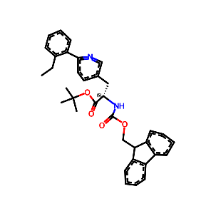 CCc1ccccc1-c1ccc(C[C@H](NC(=O)OCC2c3ccccc3-c3ccccc32)C(=O)OC(C)(C)C)cn1